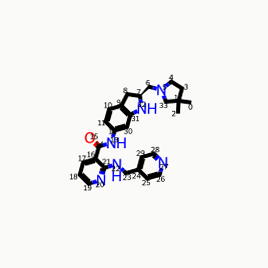 CC1(C)CCN(C[C@@H]2Cc3ccc(NC(=O)c4cccnc4NCc4ccncc4)cc3N2)C1